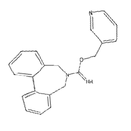 N=C(OCc1cccnc1)N1Cc2ccccc2-c2ccccc2C1